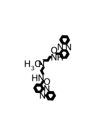 CN(CCCNC(=O)c1cccc2nc3ccccc3nc12)CCCNC(=O)c1cccc2nc3ccccc3nc12